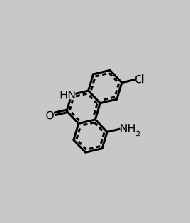 Nc1cccc2c(=O)[nH]c3ccc(Cl)cc3c12